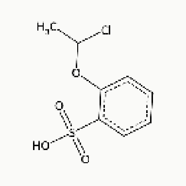 CC(Cl)Oc1ccccc1S(=O)(=O)O